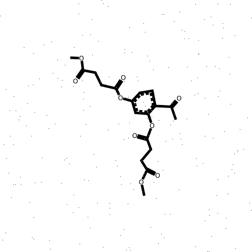 COC(=O)CCC(=O)Oc1ccc(C(C)=O)c(OC(=O)CCC(=O)OC)c1